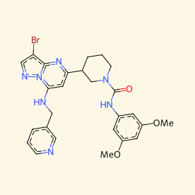 COc1cc(NC(=O)N2CCCC(c3cc(NCc4cccnc4)n4ncc(Br)c4n3)C2)cc(OC)c1